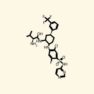 CC(C)[C@H](N)C(O)NC1C[C@@H](c2cccc(C(F)(F)F)c2)CCC1Nc1cc(F)c(S(=O)(=O)Nc2ccncn2)cc1Cl